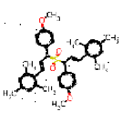 COc1ccc(C(C=Cc2c(C)cc(C)cc2C)S(=O)(=O)C(C=Cc2c(C)cc(C)cc2C)c2ccc(OC)cc2)cc1